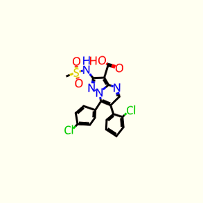 CS(=O)(=O)Nc1nn2c(-c3ccc(Cl)cc3)c(-c3ccccc3Cl)cnc2c1C(=O)O